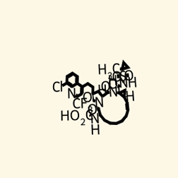 CC1(S(=O)(=O)NC(=O)[C@@]23C[C@H]2C=CCCCCC[C@H](NC(=O)O)C(=O)N2C[C@@]4(CCc5c(c(C(F)(F)F)nc6c(Cl)cccc56)O4)C[C@H]2C(=O)N3)CC1